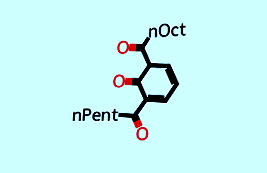 CCCCCCCCC(=O)C1C=CC=C(C(=O)CCCCC)C1=O